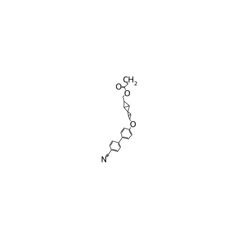 C=CC(=O)OCC1C2C1C21C2C(Oc3ccc(-c4ccc(C#N)cc4)cc3)C21